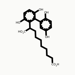 O=C(O)CCCCCCCC(C(=O)O)c1c(O)ccc(O)c1-c1cc(O)ccc1O